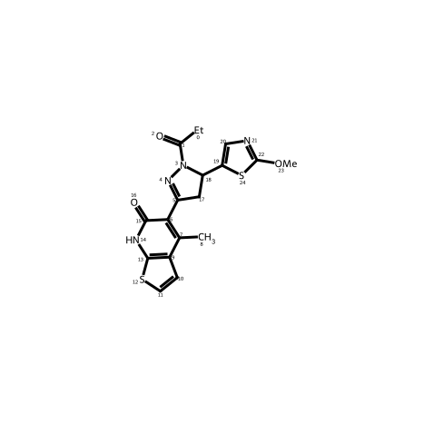 CCC(=O)N1N=C(c2c(C)c3ccsc3[nH]c2=O)CC1c1cnc(OC)s1